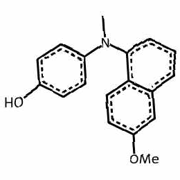 COc1ccc2c(N(C)c3ccc(O)cc3)cccc2c1